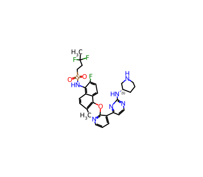 Cc1ccc2c(NS(=O)(=O)CCC(C)(F)F)c(F)ccc2c1Oc1ncccc1-c1ccnc(N[C@H]2CCCNC2)n1